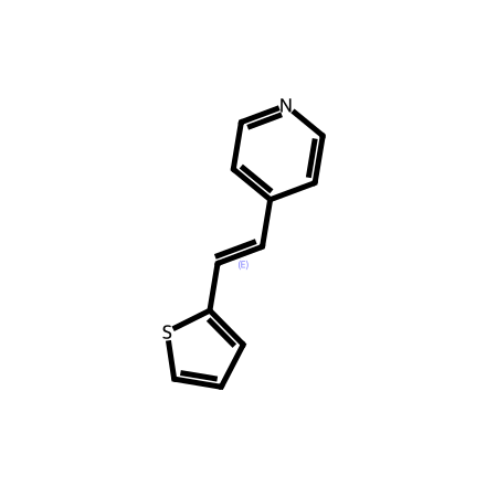 C(=C\c1cccs1)/c1ccncc1